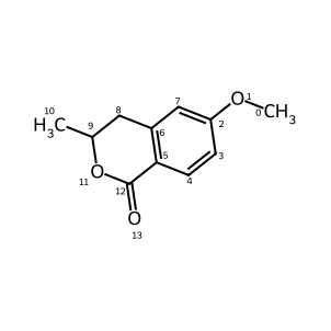 COc1ccc2c(c1)CC(C)OC2=O